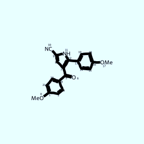 COc1ccc(C(=O)c2cc(C#N)[nH]c2-c2ccc(OC)cc2)cc1